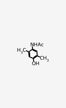 CC(=O)Nc1cc(C)c(O)cc1C